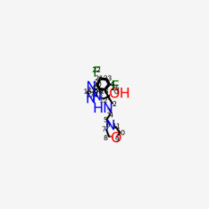 OC(CNCCN1CCOCC1)(Cn1cncn1)c1ccc(F)cc1F